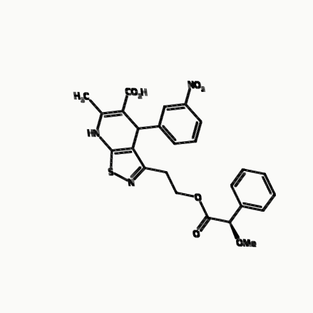 CO[C@@H](C(=O)OCCc1nsc2c1C(c1cccc([N+](=O)[O-])c1)C(C(=O)O)=C(C)N2)c1ccccc1